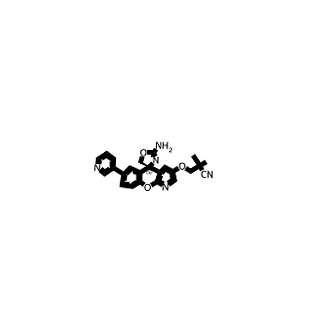 CC(C)(C#N)COc1cnc2c(c1)[C@]1(COC(N)=N1)c1cc(-c3cccnc3)ccc1O2